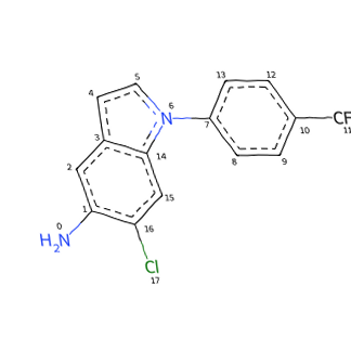 Nc1cc2ccn(-c3ccc(C(F)(F)F)cc3)c2cc1Cl